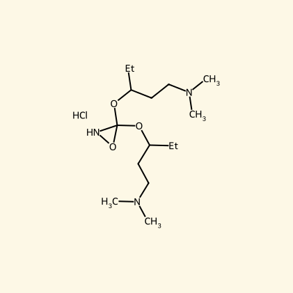 CCC(CCN(C)C)OC1(OC(CC)CCN(C)C)NO1.Cl